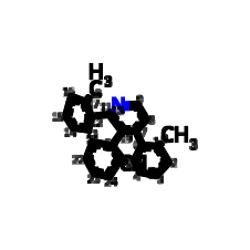 Cc1ccccc1-c1ccnc(-c2ccccc2C)c1-c1ccccc1C